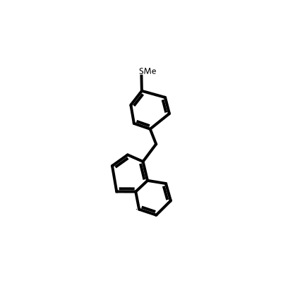 CSc1ccc(Cc2cccc3[c]cccc23)cc1